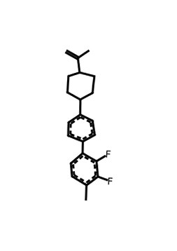 C=C(C)C1CCC(c2ccc(-c3ccc(C)c(F)c3F)cc2)CC1